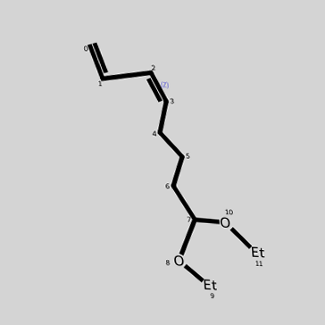 C=C/C=C\CCCC(OCC)OCC